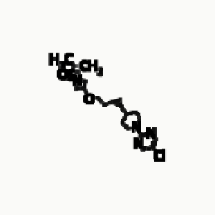 CC(C)[S+]([O-])N1CC(OCCC2CC2C2CCN(c3ncc(Cl)cn3)CC2)C1